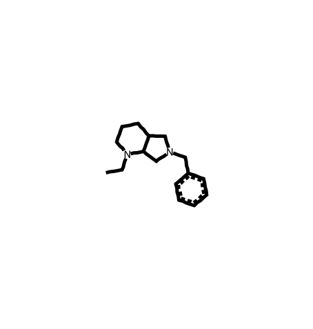 CCN1CCCC2CN(Cc3ccccc3)CC21